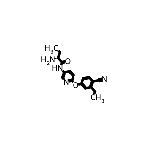 CCc1cc(Oc2ccc(NC(=O)[C@H](N)CC)cn2)ccc1C#N